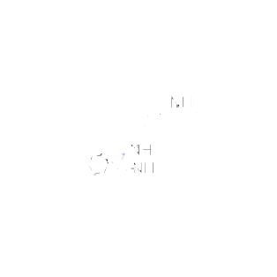 N=C/C(=C\NC1CC(CCCN)C1)c1ccccc1